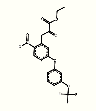 CCOC(=O)C(=O)Cc1cc(Oc2cccc(OC(F)(F)F)c2)ncc1[N+](=O)[O-]